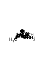 CCOc1ccc(CN(C(=O)c2ccc3nc(N)c4c(cnn4C)c3c2)C(C)c2ncccn2)nn1